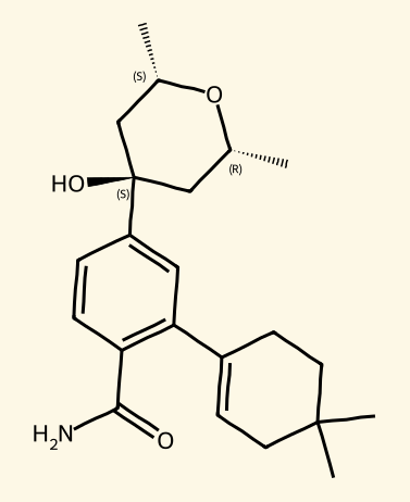 C[C@@H]1C[C@](O)(c2ccc(C(N)=O)c(C3=CCC(C)(C)CC3)c2)C[C@H](C)O1